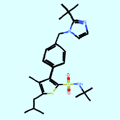 Cc1c(CC(C)C)sc(S(=O)(=O)NC(C)(C)C)c1-c1ccc(Cn2ccnc2C(C)(C)C)cc1